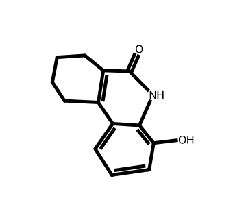 O=c1[nH]c2c(O)cccc2c2c1CCCC2